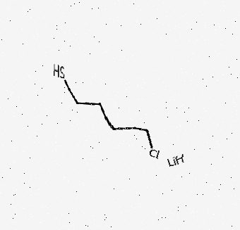 SCCCCCl.[LiH]